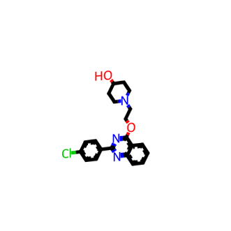 OC1CCN(CCOc2nc(-c3ccc(Cl)cc3)nc3ccccc23)CC1